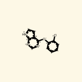 Clc1ccccc1Oc1ncnc2[nH]ccc12